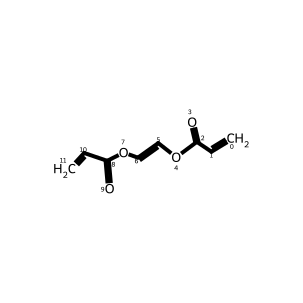 C=CC(=O)OC=COC(=O)C=C